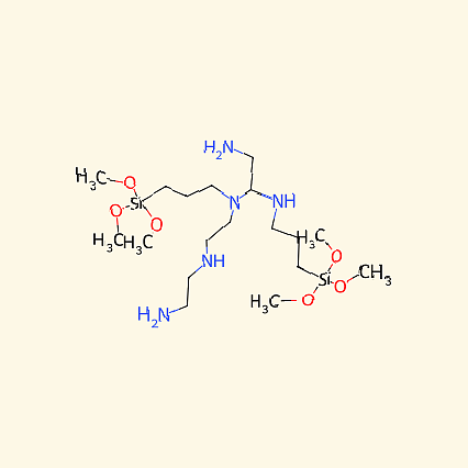 CO[Si](CCCNC(CN)N(CCC[Si](OC)(OC)OC)CCNCCN)(OC)OC